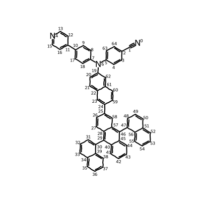 N#Cc1ccc(N(c2ccc(-c3ccncc3)cc2)c2ccc3cc(-c4ccc5c(-c6cccc7ccccc67)c6ccccc6c(-c6cccc7ccccc67)c5c4)ccc3c2)cc1